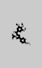 COc1cc(C(=O)c2cc(-c3ccc(N)cc3)cn2C(C)C)cc(OC)c1OC